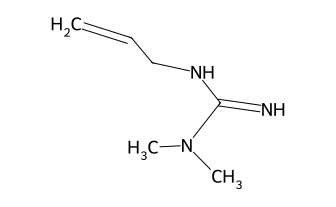 C=CCNC(=N)N(C)C